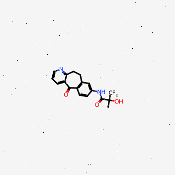 CC(O)(C(=O)Nc1ccc2c(c1)CCc1ncccc1C2=O)C(F)(F)F